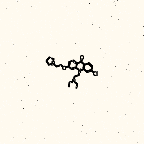 CCN(CC)CCn1c2cc(Cl)ccc2c(=O)c2ccc(OCCN3CCCC3)cc21